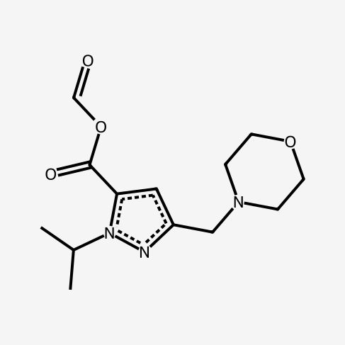 CC(C)n1nc(CN2CCOCC2)cc1C(=O)OC=O